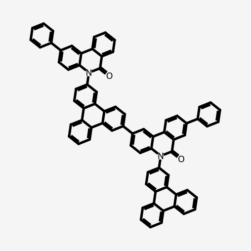 O=c1c2ccccc2c2cc(-c3ccccc3)ccc2n1-c1ccc2c3ccccc3c3cc(-c4ccc5c(c4)c4ccc(-c6ccccc6)cc4c(=O)n5-c4ccc5c6ccccc6c6ccccc6c5c4)ccc3c2c1